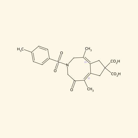 C/C1=C2\CC(C(=O)O)(C(=O)O)C\C2=C(/C)C(=O)CN(S(=O)(=O)c2ccc(C)cc2)C1